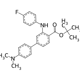 CN(C)c1ccc(-c2ccc(C(=O)OC(C)(C)C)c(Nc3ccc(F)cc3)c2)cc1